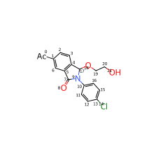 CC(=O)c1ccc2c(c1)C(=O)N(c1ccc(Cl)cc1)C2OCCO